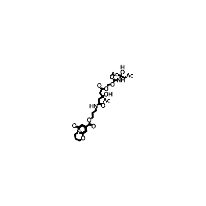 CC(=O)CC(O)(NC(=O)OCOC(=O)CC(O)(CC(=O)NCCCOC(=O)c1cc2n(c(=O)c1)CCCO2)C(C)=O)C(C)=O